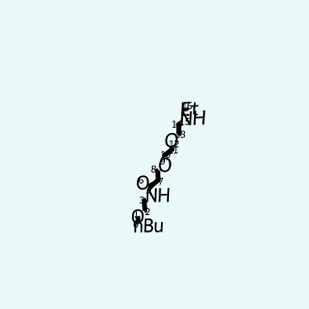 CCCCOCCNC(=O)CCOCCOCCNCC